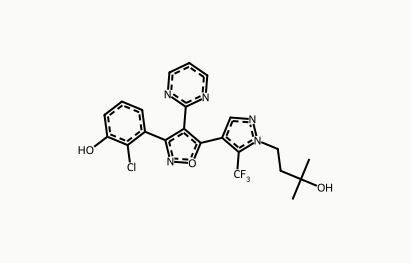 CC(C)(O)CCn1ncc(-c2onc(-c3cccc(O)c3Cl)c2-c2ncccn2)c1C(F)(F)F